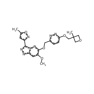 COc1cc2nnc(-c3cc(C)on3)n2nc1OCc1ccc(OCC2(C)COC2)nn1